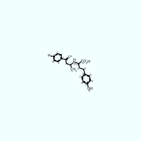 CC(CC(=O)c1ccc(F)cc1)NC(CCc1ccc(O)cc1)C(=O)O